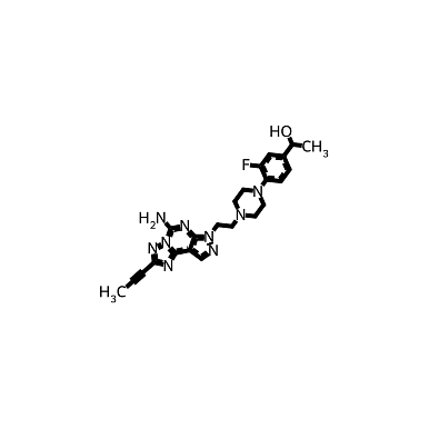 CC#Cc1nc2c3cnn(CCN4CCN(c5ccc(C(C)O)cc5F)CC4)c3nc(N)n2n1